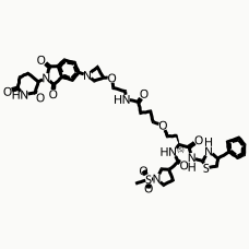 CS(=O)(=O)N1CCC(C(=O)N[C@@H](CCOCCCC(=O)NCCOC2CN(c3ccc4c(c3)C(=O)N(C3CCC(=O)NC3=O)C4=O)C2)C(=O)NC2NC(c3ccccc3)CS2)C1